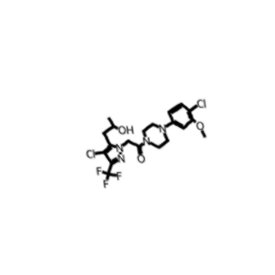 COc1cc(N2CCN(C(=O)Cn3nc(C(F)(F)F)c(Cl)c3CC(C)O)CC2)ccc1Cl